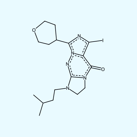 CC(C)CCN1CCn2c1nn1c(C3CCOCC3)nc(I)c1c2=O